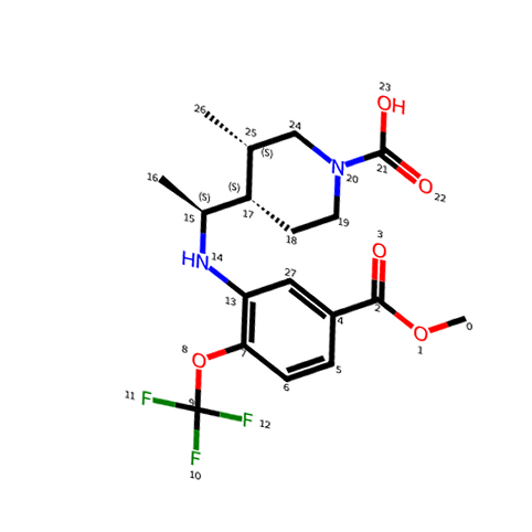 COC(=O)c1ccc(OC(F)(F)F)c(N[C@@H](C)[C@H]2CCN(C(=O)O)C[C@H]2C)c1